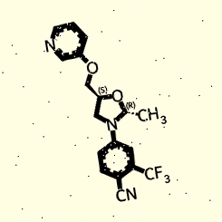 C[C@H]1O[C@H](COc2cccnc2)CN1c1ccc(C#N)c(C(F)(F)F)c1